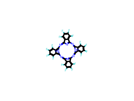 Fc1c(F)c(F)c2c(c1F)-c1nc-2nc2[nH]c(nc3nc(nc4[nH]c(n1)c1c(F)c(F)c(F)c(F)c41)-c1c(F)c(F)c(F)c(F)c1-3)c1c(F)c(F)c(F)c(F)c21